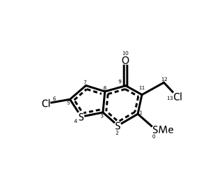 CSc1sc2sc(Cl)cc2c(=O)c1CCl